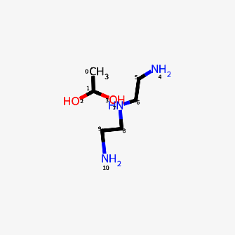 CC(O)O.NCCNCCN